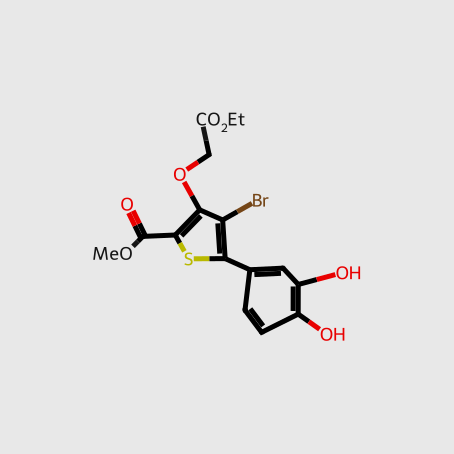 CCOC(=O)COc1c(C(=O)OC)sc(-c2ccc(O)c(O)c2)c1Br